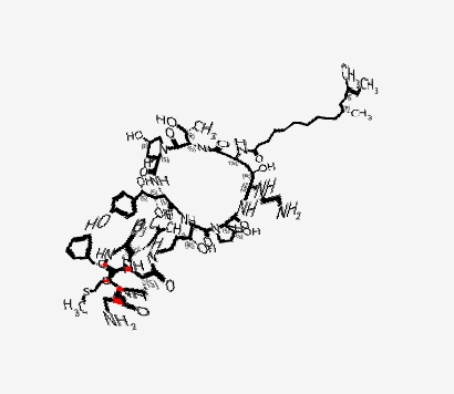 CC[C@H](C)C[C@H](C)CCCCCCCCC(=O)N[C@H]1C[C@@H](O)[C@@H](NCCN)NC(=O)[C@@H]2[C@@H](O)CCN2C(=O)[C@H]([C@H](O)CCNC(=O)[C@H](CCCCN)NC(=O)[C@H](Cc2ccccc2)NC(=O)[C@H](CC(C)C)NC(=O)[C@H](CCSC)NC=O)NC(=O)[C@H]([C@H](O)[C@@H](O)c2ccc(O)cc2)NC(=O)[C@@H]2C[C@@H](O)CN2C(=O)[C@H]([C@@H](C)O)NC1=O